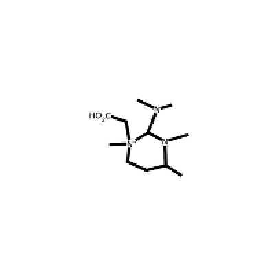 CC1CC[N+](C)(CC(=O)O)C(N(C)C)N1C